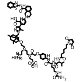 Cc1c(-c2ccc(N3CCc4cccc(C(=O)Nc5nc6ccccc6s5)c4C3)nc2C(=O)O)cnn1CC12CC3(C)CC(C)(C1)CC(OCCN(CCN(CCS(=O)(=O)O)C(=O)COc1ccc(NC(=O)[C@H](CCCNC(N)=O)NC(=O)[C@@H](NC(=O)CCCCCN4C(=O)C=CC4=O)C(C)C)cc1)CCS(=O)(=O)O)(C3)C2